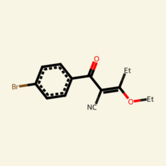 CCO/C(CC)=C(\C#N)C(=O)c1ccc(Br)cc1